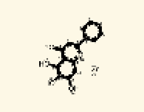 O=c1cc(-c2ccccc2)oc2cc(O)c(O)c(O)c12.[Zn]